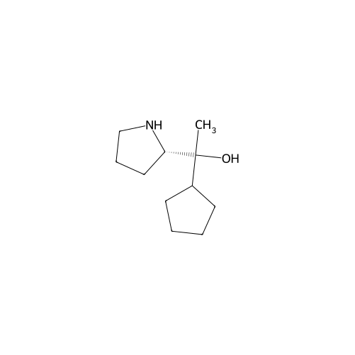 CC(O)(C1CCCC1)[C@@H]1CCCN1